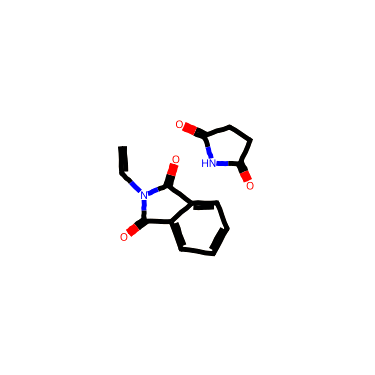 C=CN1C(=O)c2ccccc2C1=O.O=C1CCC(=O)N1